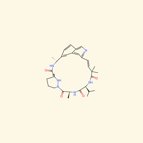 CC(C)[C@@H]1NC(=O)C(C)(C)/C=C/c2cc3cc(ccc3cn2)[C@@H](C)NC(=O)[C@@H]2CCCN(N2)C(=O)[C@H](C)NC1=O